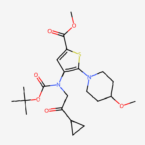 COC(=O)c1cc(N(CC(=O)C2CC2)C(=O)OC(C)(C)C)c(N2CCC(OC)CC2)s1